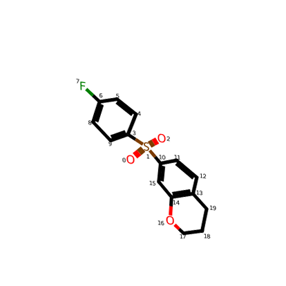 O=S(=O)(c1ccc(F)cc1)c1ccc2c(c1)OCCC2